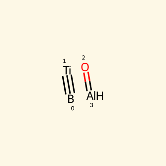 [B]#[Ti].[O]=[AlH]